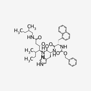 CCC(C)CNC(=O)C[C@H](O)[C@@H](NC(=O)[C@H](Cc1c[nH]cn1)NC(=O)[C@H](Cc1cccc2ccccc12)NC(=O)OCc1ccccc1)C(C)CC